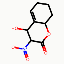 O=C1OC2CCCC=C2C(O)C1[N+](=O)[O-]